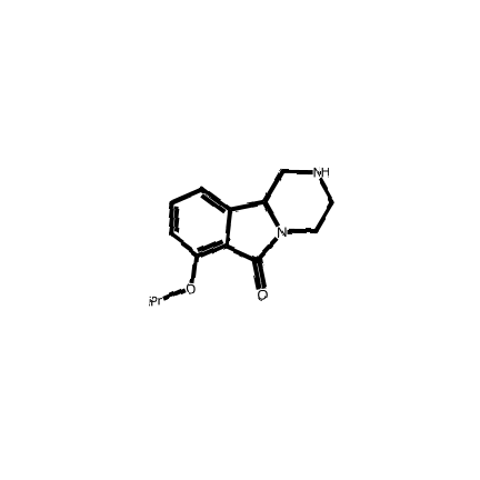 CC(C)Oc1cccc2c1C(=O)N1CCNCC21